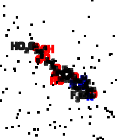 O=C(O)OC[C@H](O)C(=O)OCCCOC(=O)c1ccc(Oc2nccn3c(-c4conc4C(F)(F)F)cnc23)cc1O